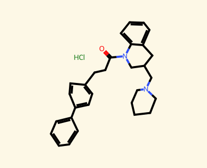 Cl.O=C(CCc1ccc(-c2ccccc2)cc1)N1CC(CN2CCCCC2)Cc2ccccc21